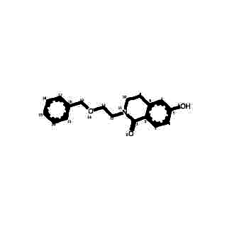 O=C1c2ccc(O)cc2CCN1CCOCc1ccccc1